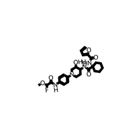 COC(F)C(=O)Nc1ccc(N2CCC(NC(=O)C3(NC(=O)c4ccco4)CCCCC3)C(O)C2)cc1